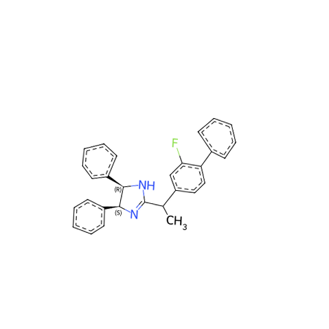 CC(C1=N[C@@H](c2ccccc2)[C@@H](c2ccccc2)N1)c1ccc(-c2ccccc2)c(F)c1